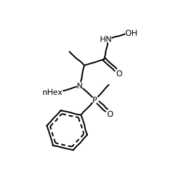 CCCCCCN(C(C)C(=O)NO)P(C)(=O)c1ccccc1